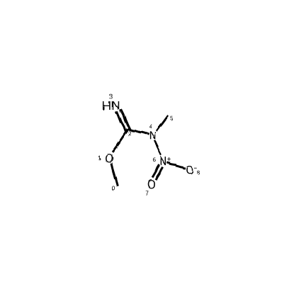 COC(=N)N(C)[N+](=O)[O-]